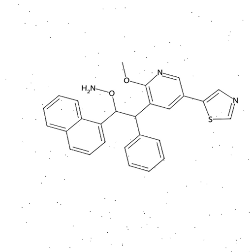 COc1ncc(-c2cncs2)cc1C(c1ccccc1)C(ON)c1cccc2ccccc12